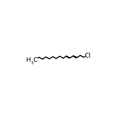 CCCCCCCCC/C=C/C=C/CCCl